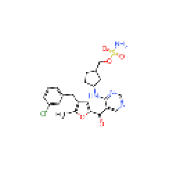 Cc1oc(C(=O)c2cncnc2N[C@H]2CC[C@@H](COS(N)(=O)=O)C2)cc1Cc1cccc(Cl)c1